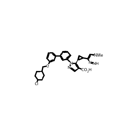 CN/C=C(\N=N)C1C[C@@H]1c1c(C(=O)O)cnn1-c1cccc(-c2cccc(OCC3CCC(Cl)CC3)c2)c1